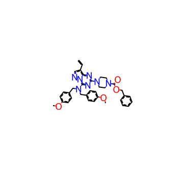 C=Cc1cnn2c(N(Cc3ccc(OC)cc3)Cc3ccc(OC)cc3)nc(N3CCN(C(=O)OCc4ccccc4)CC3)nc12